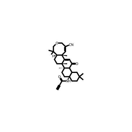 C#CC(=O)N[C@]12CCC(C)(C)CC1C1C(=O)C=C3[C@@]4(C)/C=C(/C#N)COCC(C)(C)[C@@H]4CC[C@@]3(C)[C@]1(C)CC2